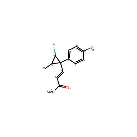 COC(=O)C=CC1(c2ccc(Br)cc2)C(C)C1F